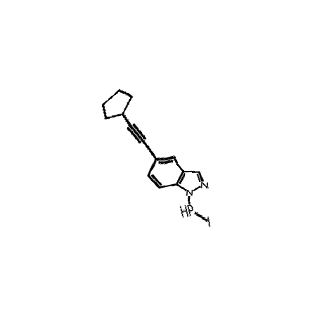 IPn1ncc2cc(C#CC3CCCC3)ccc21